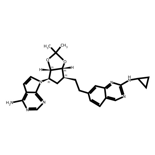 CC1(C)O[C@@H]2[C@@H](CCc3ccc4cnc(NC5CC5)nc4c3)C[C@@H](n3ccc4c(N)ncnc43)[C@@H]2O1